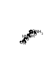 COc1cc(CC(=O)Nc2cc(C3CCC(OC(N)=O)C3)[nH]n2)ccn1